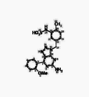 COc1ccccc1-c1nc(N)nc2c1nnn2Cc1ccc(C)c(NS(=O)(=O)O)c1